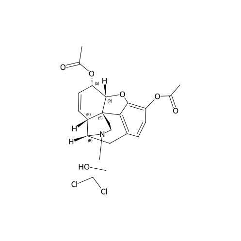 CC(=O)Oc1ccc2c3c1O[C@H]1[C@@H](OC(C)=O)C=C[C@H]4[C@@H](C2)N(C)CC[C@@]341.CO.ClCCl